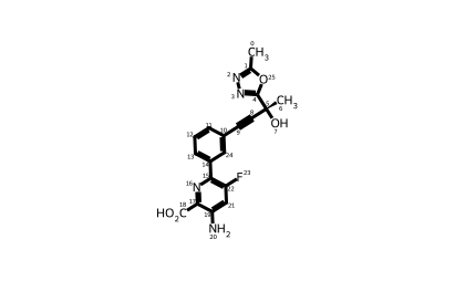 Cc1nnc([C@](C)(O)C#Cc2cccc(-c3nc(C(=O)O)c(N)cc3F)c2)o1